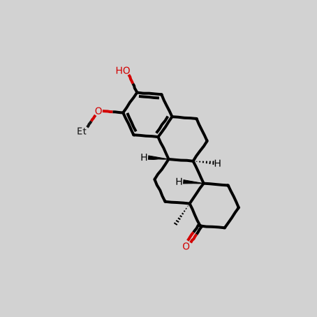 CCOc1cc2c(cc1O)CC[C@@H]1[C@@H]2CC[C@]2(C)C(=O)CCC[C@@H]12